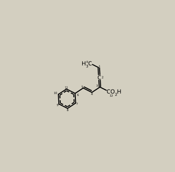 CC=C=C(C=Cc1ccccc1)C(=O)O